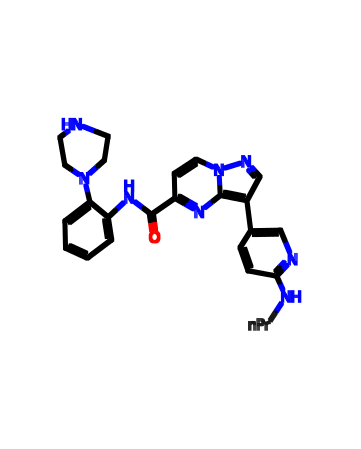 CCCNc1ccc(-c2cnn3ccc(C(=O)Nc4ccccc4N4CCNCC4)nc23)cn1